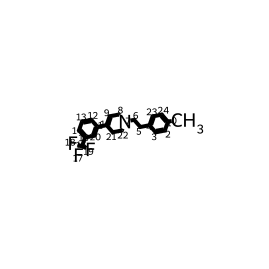 Cc1ccc(CCN2CC=C(c3cccc(C(F)(F)F)c3)CC2)cc1